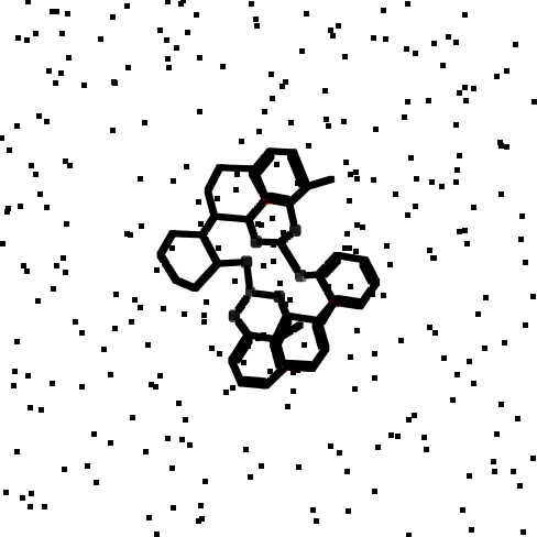 Cc1ccccc1OC(Oc1ccccc1C)OC1CCCCC1C1CCCCC1OP(Oc1ccccc1C)Oc1ccccc1C